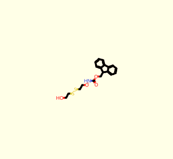 O=C(NOCCSSCCO)OCC1c2ccccc2-c2ccccc21